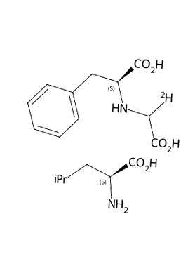 CC(C)C[C@H](N)C(=O)O.[2H]C(N[C@@H](Cc1ccccc1)C(=O)O)C(=O)O